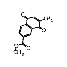 COC(=O)c1ccc2c(c1)C(=O)C(C)=CC2=O